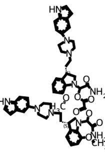 COc1cccc2c1N(C(OC(=O)C(=O)OC(C(N)=O)N1C[C@@H](CCN3CCN(c4ccc5[nH]ccc5c4)CC3)c3cccc(OC)c31)C(N)=O)C[C@H]2CCN1CCN(c2ccc3[nH]ccc3c2)CC1